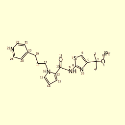 CC(C)OC(C)(C)c1csc(NC(=O)c2cccn2CCCc2ccncc2)n1